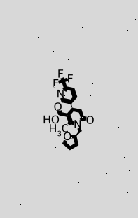 CC1=C(C(=O)O)[C@H](c2ccc(C(F)(F)F)nc2)CC(=O)N1C[C@H]1CCCO1